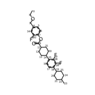 CCOCc1ccc(OC(=O)C2CCC(c3ccc(C4CCC(C)CC4)c(F)c3F)CC2)c(F)c1